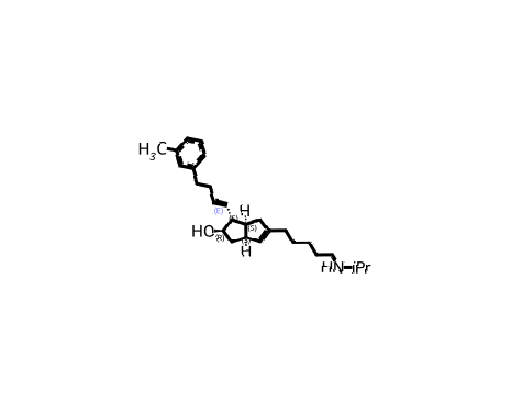 Cc1cccc(CC/C=C/[C@@H]2[C@H]3CC(CCCCCNC(C)C)=C[C@H]3C[C@H]2O)c1